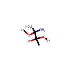 CCOC(C)(O)C(N)(OCC)S(=O)(=O)O